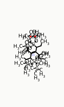 CCC(/C(C(=O)O)=C(\C(=O)O)C(CC)[Si](O[Si](C)(C)C)(O[Si](C)(C)C)O[Si](C)(C)C)[Si](O[Si](C)(C)C)(O[Si](C)(C)C)O[Si](C)(C)C